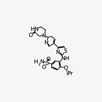 CC(C)Oc1ccc(S(N)(=O)=O)cc1Nc1nc(C2=CCC(N3CCNC(=O)C3)N=C2)cs1